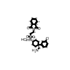 Cl.NC[C@]1(c2cccc(Cl)c2)CC[C@@H](NS(=O)(=O)CCN2C(=O)c3ccccc3C2=O)CC1